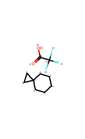 C1CCC2(CC1)CC2.O=C(O)C(F)(F)F